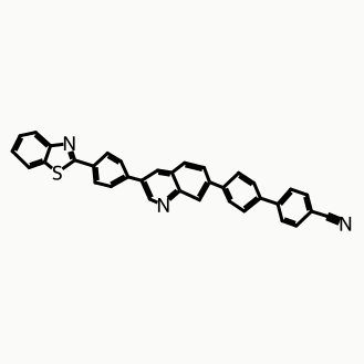 N#Cc1ccc(-c2ccc(-c3ccc4cc(-c5ccc(-c6nc7ccccc7s6)cc5)cnc4c3)cc2)cc1